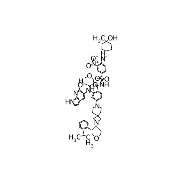 CC(C)c1ccccc1[C@@H]1COCC[C@H]1N1CC2(CCN(c3ccc(C(=O)NS(=O)(=O)c4ccc(NC[C@H]5CC[C@](C)(O)CC5)c([N+](=O)[O-])c4)c(N4c5cc6cc[nH]c6nc5O[C@H]5COCC[C@@H]54)c3)CC2)C1